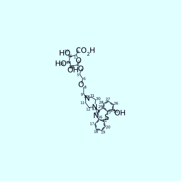 O=C(O)C1OC(OCCOCCN2CCN(C3=Nc4ccccc4Sc4c(O)cccc43)CC2)C(O)C(O)C1O